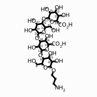 NCCCOC1OC(CO)C(OC2OC(C(=O)O)C(O)C(OC3OC(CO)C(OC4OC(C(=O)O)C(O)C(O)C4O)C(O)C3O)C2O)C(O)C1O